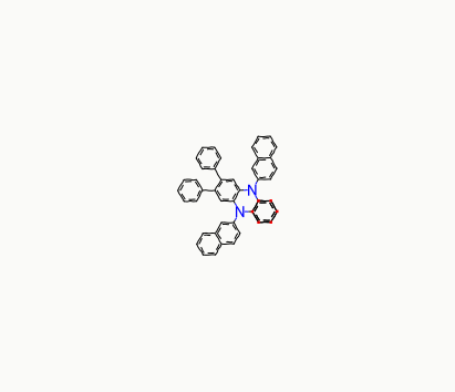 c1ccc(-c2cc(N(c3ccccc3)c3ccc4ccccc4c3)c(N(c3ccccc3)c3ccc4ccccc4c3)cc2-c2ccccc2)cc1